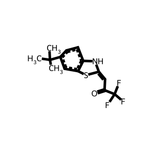 CC(C)(C)c1ccc2c(c1)SC(=CC(=O)C(F)(F)F)N2